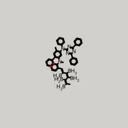 B/C(C)=C(B)/C(B)=C(B)\C(B)=C\c1ccccc1N(C)c1cc(N(c2ccccc2)c2nc(-c3ccccc3)nc(-c3ccccc3)n2)c(C)cc1-c1ccccc1